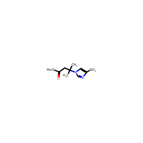 COC(=O)CC(C)(C)n1cnc([N+](=O)[O-])c1